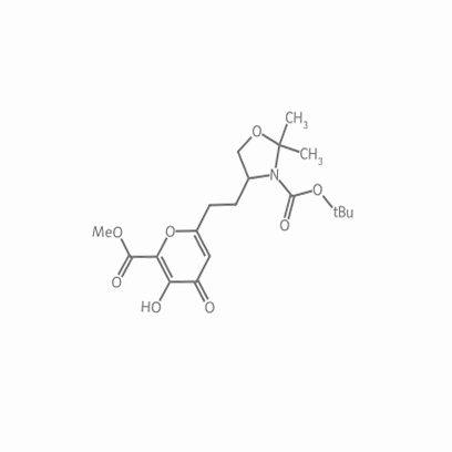 COC(=O)c1oc(CCC2COC(C)(C)N2C(=O)OC(C)(C)C)cc(=O)c1O